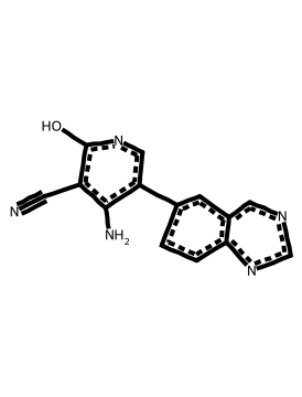 N#Cc1c(O)ncc(-c2ccc3ncncc3c2)c1N